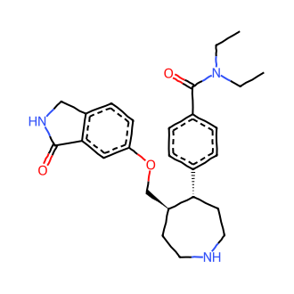 CCN(CC)C(=O)c1ccc([C@@H]2CCNCC[C@H]2COc2ccc3c(c2)C(=O)NC3)cc1